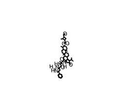 CC(C)C1=C2C3CCC4C(C)(CCC5C(C)C(OC(=O)C6CC(C=O)C6C)CCC54C)C3CCC2(NC(=O)C(C)(C)NC(=O)/C(N)=C/C(=N)c2ccccc2)CC1=O